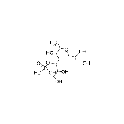 CC(OCC(O)CO)C(O)CC(OP(=O)(O)O)C(O)CO